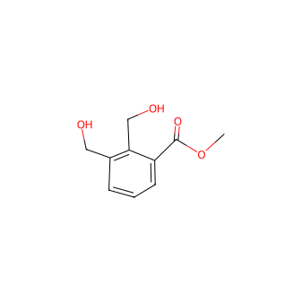 COC(=O)c1cccc(CO)c1CO